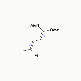 CC/C(C)=C\C=C(/NC)OC